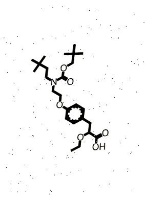 CCOC(Cc1ccc(OCCN(CCC(C)(C)C)C(=O)OCC(C)(C)C)cc1)C(=O)O